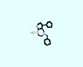 Cl.c1ccc(CN2CCOc3nccc(-c4ccccc4)c3C2)cc1